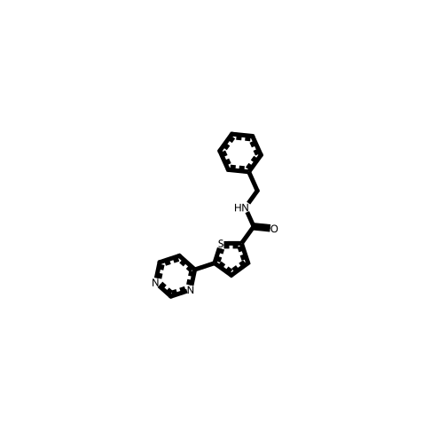 O=C(NCc1ccccc1)c1ccc(-c2ccncn2)s1